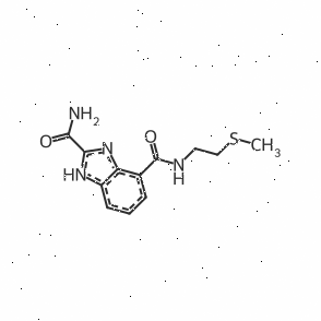 CSCCNC(=O)c1cccc2[nH]c(C(N)=O)nc12